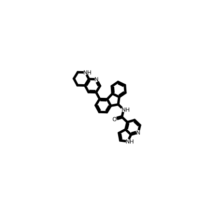 O=C(NC1c2ccccc2-c2c(-c3cnc4c(c3)CCCN4)cccc21)c1ccnc2[nH]ccc12